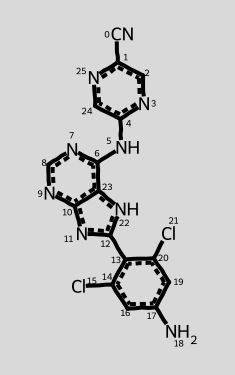 N#Cc1cnc(Nc2ncnc3nc(-c4c(Cl)cc(N)cc4Cl)[nH]c23)cn1